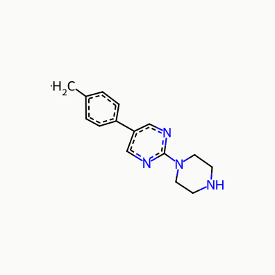 [CH2]c1ccc(-c2cnc(N3CCNCC3)nc2)cc1